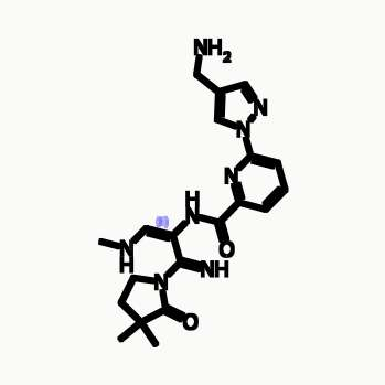 CN/C=C(/NC(=O)c1cccc(-n2cc(CN)cn2)n1)C(=N)N1CCC(C)(C)C1=O